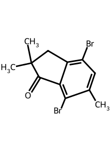 Cc1cc(Br)c2c(c1Br)C(=O)C(C)(C)C2